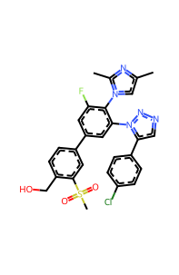 Cc1cn(-c2c(F)cc(-c3ccc(CO)c(S(C)(=O)=O)c3)cc2-n2nncc2-c2ccc(Cl)cc2)c(C)n1